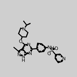 Cc1n[nH]c2nc(-c3ccc(NS(=O)(=O)c4cccnc4)cc3)nc(OC3CCN(C(C)C)CC3)c12